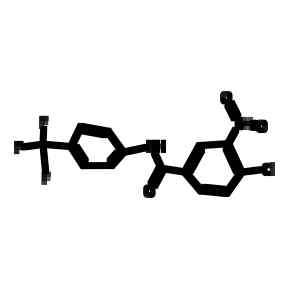 O=C(Nc1ccc(C(F)(F)F)cc1)c1ccc(Cl)c([SH](=O)=O)c1